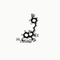 CCc1c(CCCc2ccc(Br)cc2)nc2ccc(C)cc2c1C(=O)OC